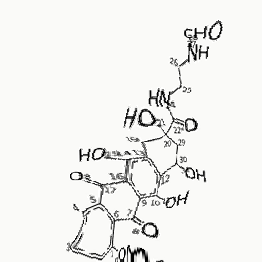 COc1cccc2c1C(=O)c1c(O)c3c(c(O)c1C2=O)CC(O)(C(=O)NCCNC=O)CC3O